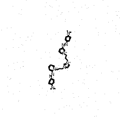 CN(C)c1ccc(/N=N/c2ccc[n+](CCC[n+]3ccn(CCC[n+]4ccccc4/N=N/c4ccc(N(C)C)cc4)c3)c2)cc1